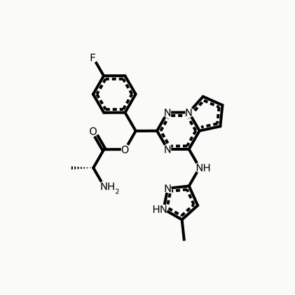 Cc1cc(Nc2nc(C(OC(=O)[C@@H](C)N)c3ccc(F)cc3)nn3cccc23)n[nH]1